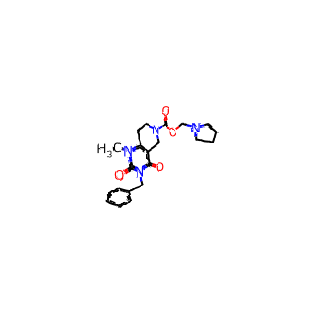 Cn1c2c(c(=O)n(Cc3ccccc3)c1=O)CN(C(=O)OCN1CCCC1)CC2